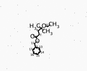 CCOC(C)(C)CCC(=O)OCc1ccccc1